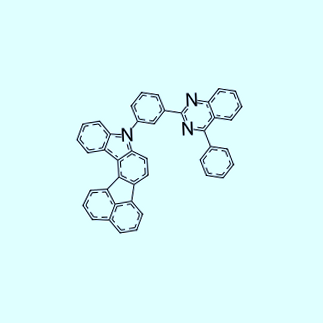 c1ccc(-c2nc(-c3cccc(-n4c5ccccc5c5c6c(ccc54)-c4cccc5cccc-6c45)c3)nc3ccccc23)cc1